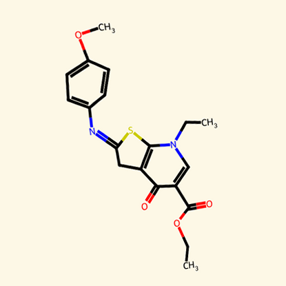 CCOC(=O)c1cn(CC)c2c(c1=O)CC(=Nc1ccc(OC)cc1)S2